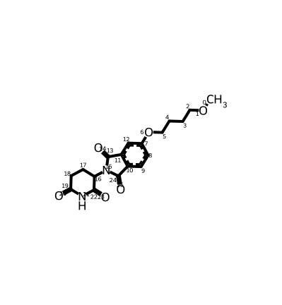 COCCCCOc1ccc2c(c1)C(=O)N(C1CCC(=O)NC1=O)C2=O